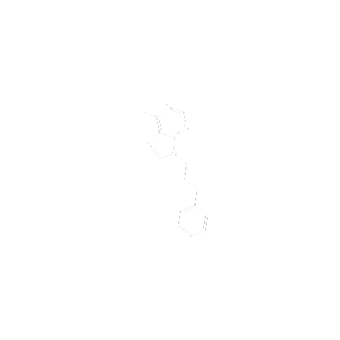 Oc1ncnc2c1ncn2CCCc1ccccc1